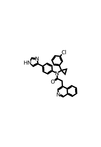 O=C(Cc1cncc2ccccc12)N(c1ccc(-c2c[nH]cn2)cc1)C1(c2cccc(Cl)c2)CC1